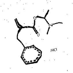 C=C(Cc1ccccc1)C(=O)OC(C)N(C)C.Cl